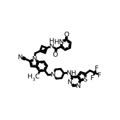 Cc1c(CN2CCC(Nc3ncnc4sc(CC(F)(F)F)cc34)CC2)ccc2c1cc(C#N)n2CC12CC(NC(=O)c3cccc(=O)[nH]3)(C1)C2